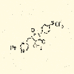 CC(C)c1cc(CN2C(=O)N(c3ccc(SC(F)(F)F)cc3)C(=O)C2C)ccn1